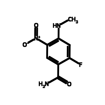 CNc1cc(F)c(C(N)=O)cc1[N+](=O)[O-]